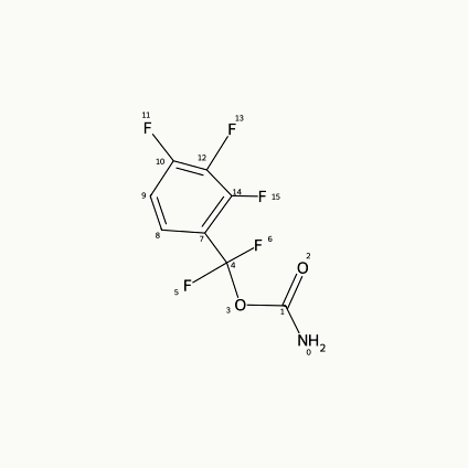 NC(=O)OC(F)(F)c1ccc(F)c(F)c1F